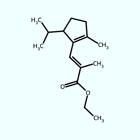 CCOC(=O)C(C)=CC1=C(C)CCC1C(C)C